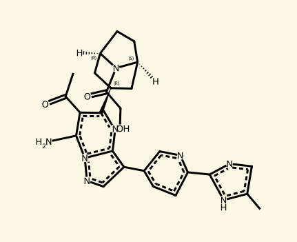 CC(=O)c1c([C@H]2C[C@H]3CC[C@@H](C2)N3C(=O)CO)nc2c(-c3ccc(-c4ncc(C)[nH]4)nc3)cnn2c1N